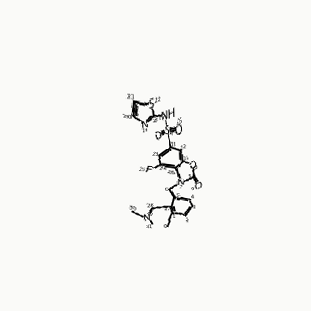 Cc1cccc(Cn2c(=O)oc3cc(S(=O)(=O)Nc4nccs4)cc(F)c32)c1CN(C)C